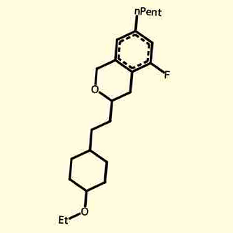 CCCCCc1cc(F)c2c(c1)COC(CCC1CCC(OCC)CC1)C2